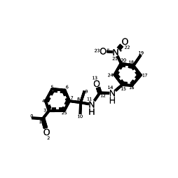 CC(=O)c1cccc(C(C)(C)NC(=O)Nc2ccc(C)c([N+](=O)[O-])c2)c1